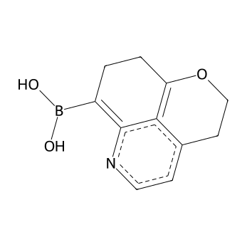 OB(O)C1=c2nccc3c2=C(CC1)OCC3